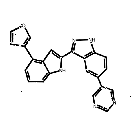 c1cc(-c2ccoc2)c2cc(-c3n[nH]c4ccc(-c5cncnc5)cc34)[nH]c2c1